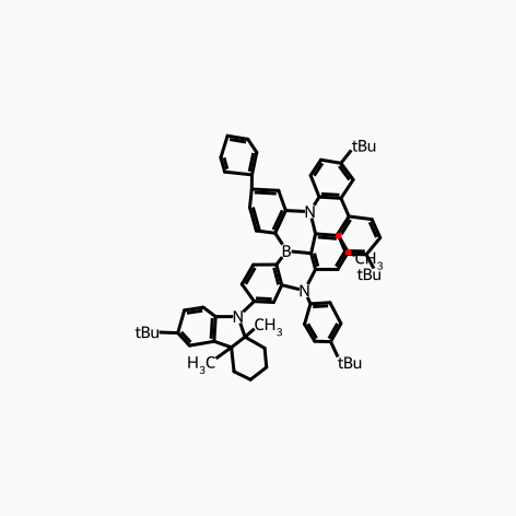 Cc1cc2c3c(c1)N(c1ccc(C(C)(C)C)cc1-c1ccc(C(C)(C)C)cc1)c1cc(-c4ccccc4)ccc1B3c1ccc(N3c4ccc(C(C)(C)C)cc4C4(C)CCCCC34C)cc1N2c1ccc(C(C)(C)C)cc1